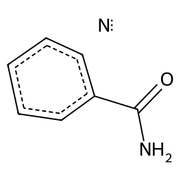 NC(=O)c1ccccc1.[N]